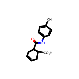 N#Cc1ccc(NC(=O)C2CC=CCC2C(=O)O)cc1